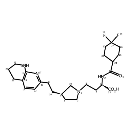 O=C(N[C@H](CCN1CC[C@@H](CCc2ccc3c(n2)NCCC3)C1)C(=O)O)C1CCC(F)(F)CC1